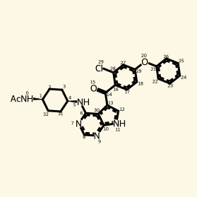 CC(=O)N[C@H]1CC[C@@H](Nc2ncnc3[nH]cc(C(=O)c4ccc(Oc5ccccc5)cc4Cl)c23)CC1